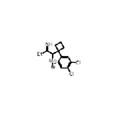 CCC(=N)[CH]([Mg][Br])C1(c2ccc(Cl)c(Cl)c2)CCC1